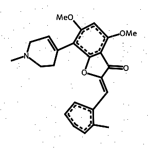 COc1cc(OC)c(C2=CCN(C)CC2)c2c1C(=O)/C(=C/c1ccccc1C)O2